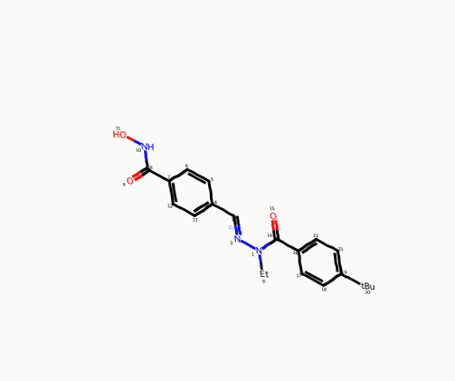 CCN(/N=C/c1ccc(C(=O)NO)cc1)C(=O)c1ccc(C(C)(C)C)cc1